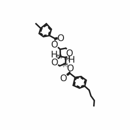 CCCCc1ccc(C(=O)O[C@@H]2CO[C@H]3C(OC(=O)c4ccc(C)cc4)CO[C@@H]23)cc1